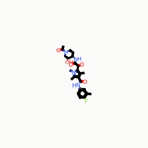 CC(=O)N1CC[C@@H](NC(=O)C(=O)c2c(C)c(C(=O)Nc3ccc(F)c(C)c3)c(C)n2C)[C@H](O)C1